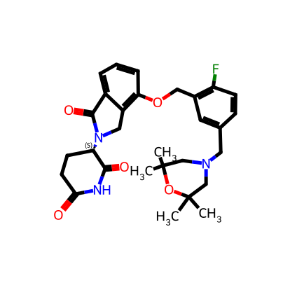 CC1(C)CN(Cc2ccc(F)c(COc3cccc4c3CN([C@H]3CCC(=O)NC3=O)C4=O)c2)CC(C)(C)O1